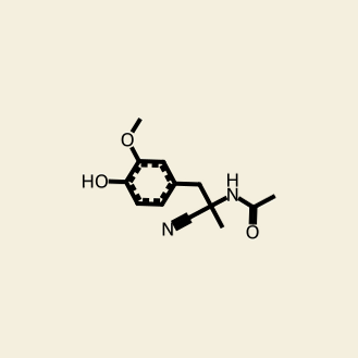 COc1cc(CC(C)(C#N)NC(C)=O)ccc1O